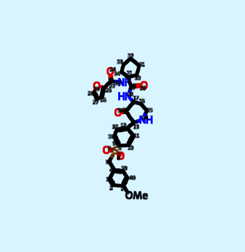 COc1ccc(CS(=O)(=O)c2ccc(C3NCCC(NC(=O)C4(NC(=O)c5ccco5)CCCCC4)C3=O)cc2)cc1